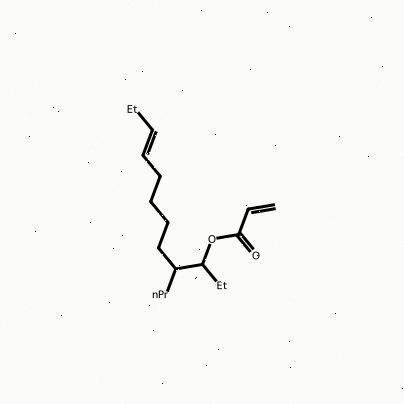 C=CC(=O)OC(CC)C(CCC)CCCC/C=C/CC